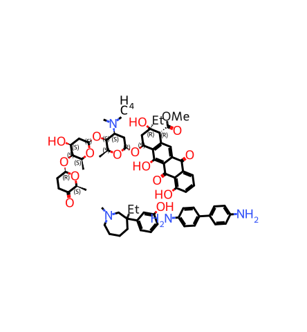 C.CCC1(c2cccc(O)c2)CCCCN(C)C1.CC[C@@]1(O)C[C@H](O[C@H]2C[C@H](N(C)C)[C@H](O[C@H]3C[C@H](O)[C@H](O[C@H]4CCC(=O)[C@H](C)O4)[C@H](C)O3)[C@H](C)O2)c2c(cc3c(c2O)C(=O)c2c(O)cccc2C3=O)[C@H]1C(=O)OC.Nc1ccc(-c2ccc(N)cc2)cc1